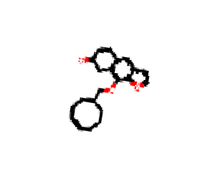 O=C1C=Cc2cc3ccoc3c(OCC3CC/C=C\CCC3)c2C1